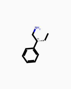 CC[C@@H](CN)c1ccccc1